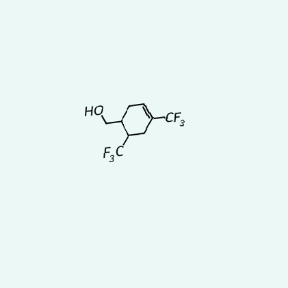 OCC1CC=C(C(F)(F)F)CC1C(F)(F)F